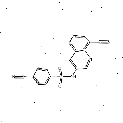 N#Cc1ccc(S(=O)(=O)Nc2cnc3c(C#N)cccc3c2)cc1